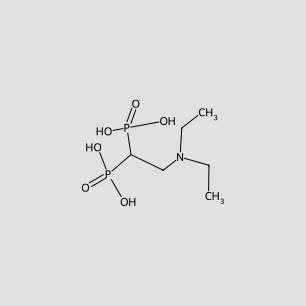 CCN(CC)CC(P(=O)(O)O)P(=O)(O)O